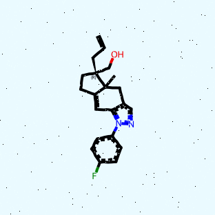 C=CC[C@]1(CO)CCC2=Cc3c(cnn3-c3ccc(F)cc3)CC21C